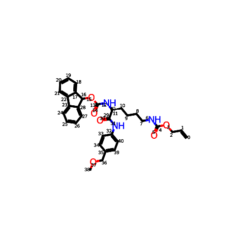 C=CCOC(=O)NCCCC[C@H](NC(=O)OC1c2ccccc2-c2ccccc21)C(=O)Nc1ccc(COC)cc1